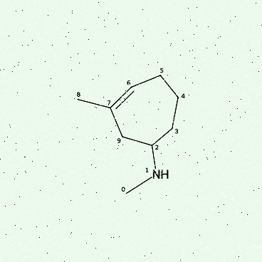 CNC1CCCC=C(C)C1